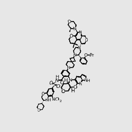 CC(C)Oc1ccccc1[C@@H]1CN([C@H]2COCc3nc(N4CCOC[C@@H]4C)c4c(c32)C(C)(C)CCO4)CCN1C1CC2(CCN(c3ccc(C(=O)NS(=O)(=O)c4cc5c(c([N+](=O)[O-])c4)N[C@H](C4CCOCC4)CO5)c(N4c5cc6cc[nH]c6nc5O[C@H]5COCC[C@@H]54)c3)CC2)C1